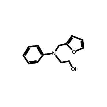 OCCN(Cc1ccco1)c1ccccc1